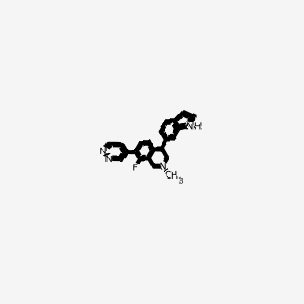 CN1Cc2c(ccc(-c3ccnnc3)c2F)C(c2ccc3cc[nH]c3c2)C1